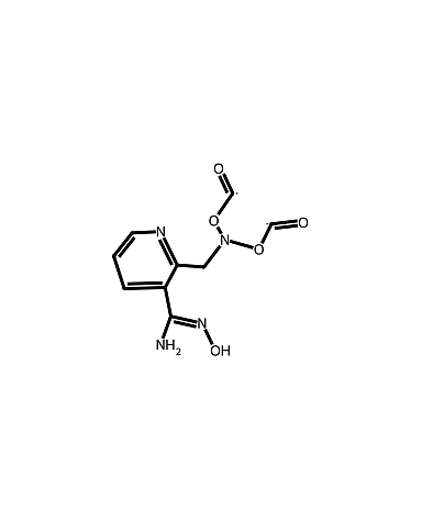 NC(=NO)c1cccnc1CN(O[C]=O)O[C]=O